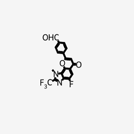 Cn1c(C(F)(F)F)nc2c(F)cc3c(=O)cc(-c4ccc(C=O)cc4)oc3c21